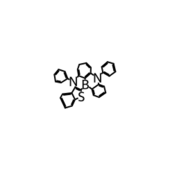 C1=CC2=C3B(c4ccccc4N2c2ccccc2)c2sc4ccccc4c2N(c2ccccc2)C3=CC1